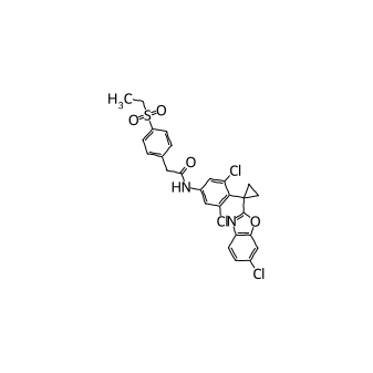 CCS(=O)(=O)c1ccc(CC(=O)Nc2cc(Cl)c(C3(c4nc5ccc(Cl)cc5o4)CC3)c(Cl)c2)cc1